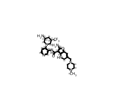 CN1CCN(CC2=Cc3oc(N)c(C(=O)Nc4cnccc4N4C[C@@H](N)C[C@@H](C(F)(F)F)C4)c3NC2)CC1